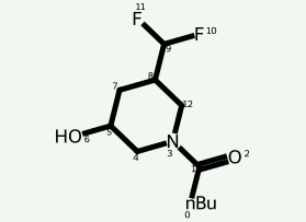 CCCCC(=O)N1CC(O)CC(C(F)F)C1